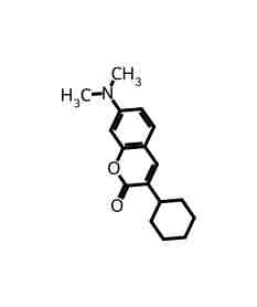 CN(C)c1ccc2cc(C3CCCCC3)c(=O)oc2c1